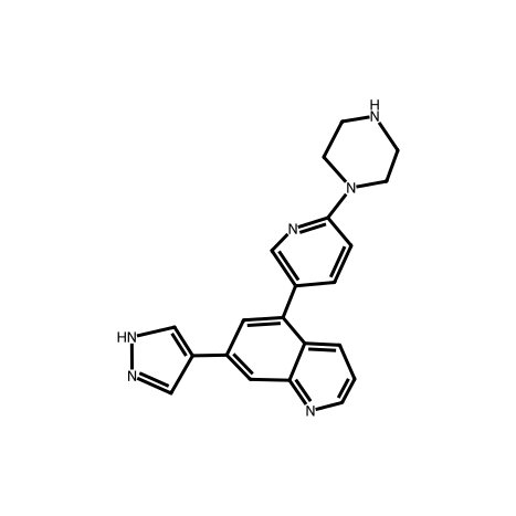 c1cnc2cc(-c3cn[nH]c3)cc(-c3ccc(N4CCNCC4)nc3)c2c1